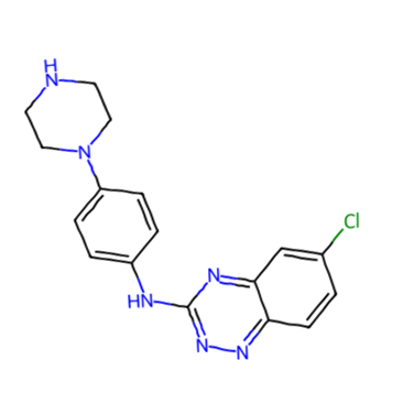 Clc1ccc2nnc(Nc3ccc(N4CCNCC4)cc3)nc2c1